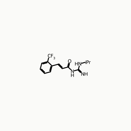 CC(C)NC(=N)NC(=O)C=Cc1ccccc1C(F)(F)F